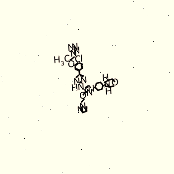 C[C@@H](Cn1cnnn1)Oc1cc(-c2cnc(Nc3cn(C4CCC(N5[C@@H]6CC[C@H]5COC6)CC4)nc3OCCn3cccn3)nc2)ccc1Cl